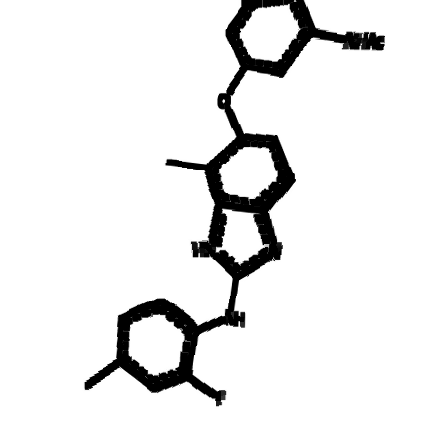 CC(=O)Nc1cc(Oc2ccc3nc(Nc4ccc(C)cc4F)[nH]c3c2C)ccn1